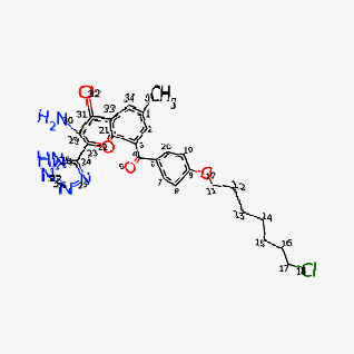 Cc1cc(C(=O)c2ccc(OCCCCCCCCl)cc2)c2oc(-c3nnn[nH]3)c(N)c(=O)c2c1